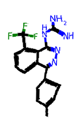 Cc1ccc(-c2nnc(NC(=N)N)c3c(C(F)(F)F)cccc23)cc1